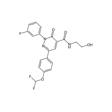 O=C(NCCO)c1cc(-c2ccc(OC(F)F)cc2)nn(-c2cccc(F)c2)c1=O